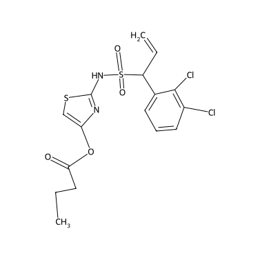 C=CC(c1cccc(Cl)c1Cl)S(=O)(=O)Nc1nc(OC(=O)CCC)cs1